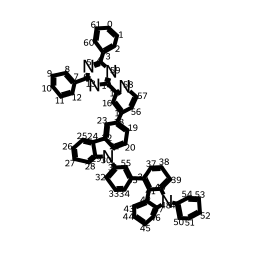 c1ccc(-c2nc(-c3ccccc3)nc(-c3cc(-c4ccc5c(c4)c4ccccc4n5-c4cccc(-c5cccc6c5c5ccccc5n6-c5ccccc5)c4)ccn3)n2)cc1